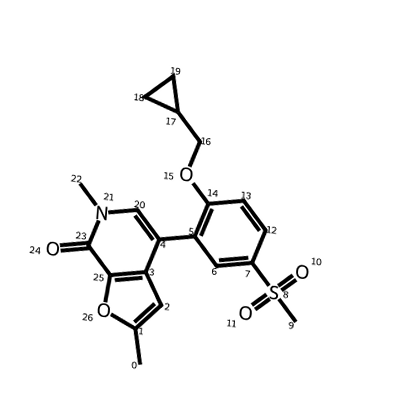 Cc1cc2c(-c3cc(S(C)(=O)=O)ccc3OCC3CC3)cn(C)c(=O)c2o1